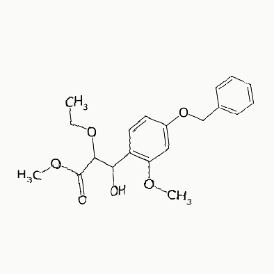 CCOC(C(=O)OC)C(O)c1ccc(OCc2ccccc2)cc1OC